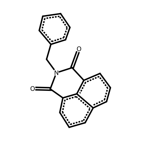 O=C1c2cccc3cccc(c23)C(=O)N1Cc1ccccc1